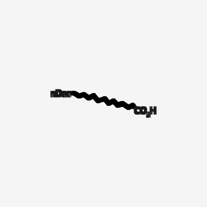 CCCCCCCCCCCCCCCCCCCC=CCCC(=O)O